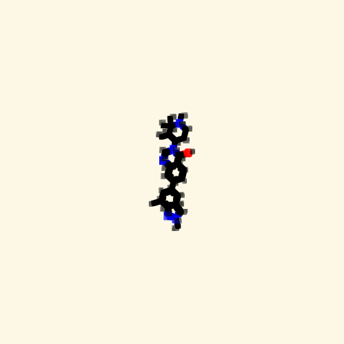 Cc1cc(-c2ccc3c(=O)n(C4CCN(C)C(C)(C)C4C)cnc3c2)cc2cn(C)nc12